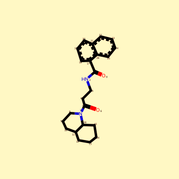 O=C(NCCC(=O)N1CCCC2CCCCC21)c1cccc2ccccc12